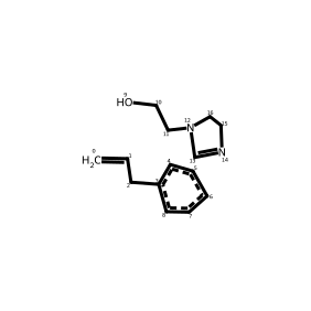 C=CCc1ccccc1.OCCN1C=NCC1